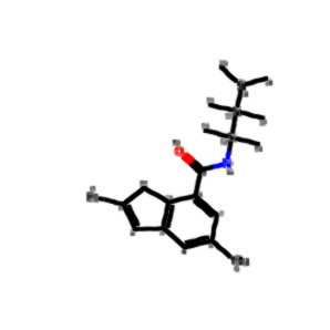 CCC1=Cc2cc(C(C)(C)C)cc(C(=O)[N][Si](C)(C)[Si](C)(C)[Si](C)C)c2C1